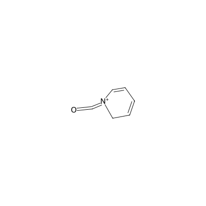 O=C=[N+]1C=CC=CC1